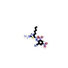 CCCCCc1nc(N)sc1N=Nc1c(C#N)cc([N+](=O)[O-])cc1[N+](=O)[O-]